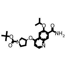 CC(C)Oc1cc2c(O[C@@H]3CCN(C(=O)OC(C)(C)C)C3)ccnc2cc1C(N)=O